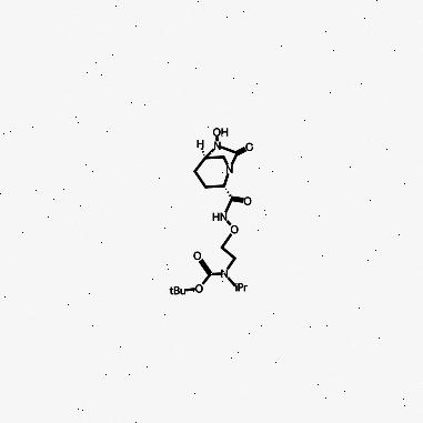 CC(C)N(CCONC(=O)[C@@H]1CC[C@@H]2CN1C(=O)N2O)C(=O)OC(C)(C)C